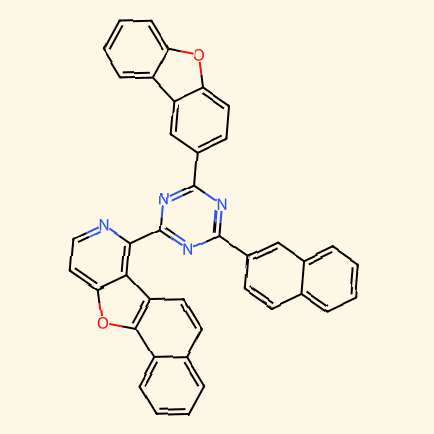 c1ccc2cc(-c3nc(-c4ccc5oc6ccccc6c5c4)nc(-c4nccc5oc6c7ccccc7ccc6c45)n3)ccc2c1